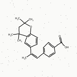 C/C(=C/c1ccc(C(=O)O)cc1)c1ccc2c(c1)C(C)(C)CC(C)(C)O2